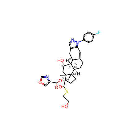 CC12C[C@H](O)[C@H]3[C@@H](CCC4=Cc5c(cnn5-c5ccc(F)cc5)C[C@@]43C)[C@@H]1CC[C@@]2(OC(=O)c1cocn1)C(=O)SCCO